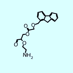 NCCOC(C=O)COC(=O)COCc1cccc2c1Cc1ccccc1-2